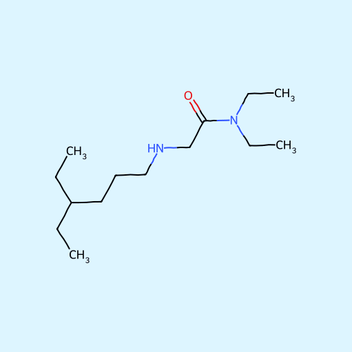 CCC(CC)CCCNCC(=O)N(CC)CC